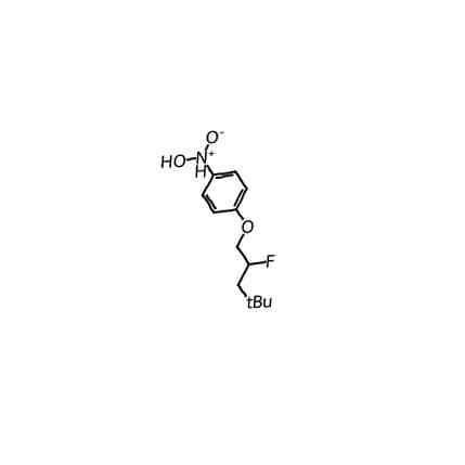 CC(C)(C)CC(F)COc1ccc([NH+]([O-])O)cc1